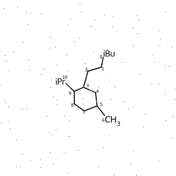 CCC(C)CCC1CC(C)CCC1C(C)C